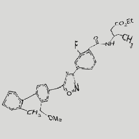 CCOC(=O)CC(C)NC(=O)c1ccc(-c2noc(-c3ccc(-c4ccccc4C)c(COC)c3)n2)cc1F